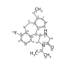 CCc1cccc2c1CCc1c(F)cccc1C2C1CN(C(C)C)C(=O)CN1